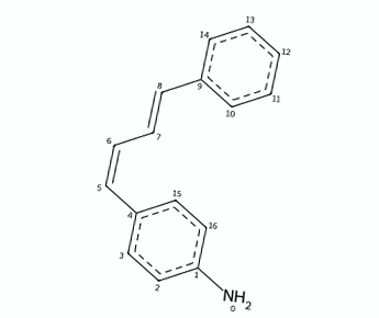 Nc1ccc(/C=C\C=C\c2ccccc2)cc1